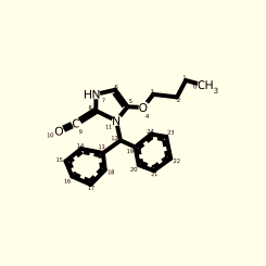 CCCCOC1=CNC(=C=O)N1C(c1ccccc1)c1ccccc1